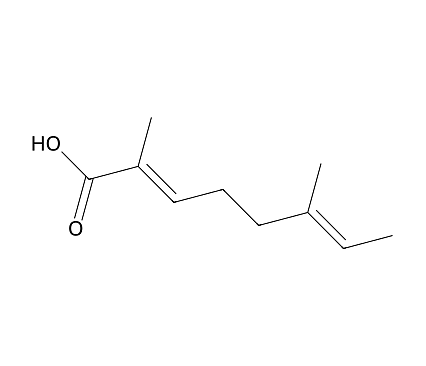 C/C=C(\C)CC/C=C(\C)C(=O)O